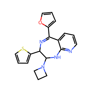 c1coc(C2=NC(c3cccs3)C(N3CCC3)Nc3ncccc32)c1